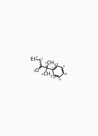 CCSC(=O)C(C)(C)c1ccccc1